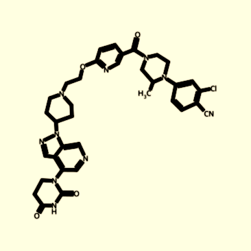 CC1CN(C(=O)c2ccc(OCCN3CCC(n4ncc5c(N6CCC(=O)NC6=O)cncc54)CC3)nc2)CCN1c1ccc(C#N)c(Cl)c1